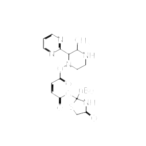 CCCCC1(OC(=O)/C=C\C(=O)ON2CCNC(C)C2c2ncccn2)NC(=O)CS1